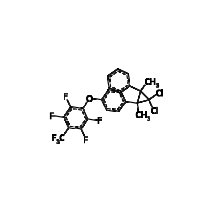 CC1(c2ccccc2)C(Cl)(Cl)C1(C)c1ccc(Oc2c(F)c(F)c(C(F)(F)F)c(F)c2F)cc1